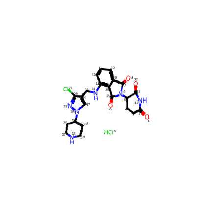 Cl.O=C1CCC(N2C(=O)c3cccc(NCc4cn(C5CCNCC5)nc4Cl)c3C2=O)C(=O)N1